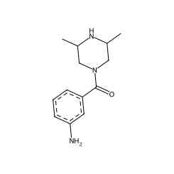 CC1CN(C(=O)c2cccc(N)c2)CC(C)N1